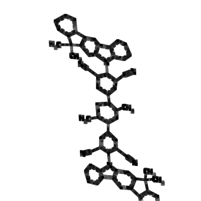 Cc1cc(-c2cc(C#N)c(-n3c4ccccc4c4cc5c(cc43)C(C)(C)c3ccccc3-5)c(C#N)c2)c(C)cc1-c1cc(C#N)c(-n2c3ccccc3c3cc4c(cc32)C(C)(C)c2ccccc2-4)c(C#N)c1